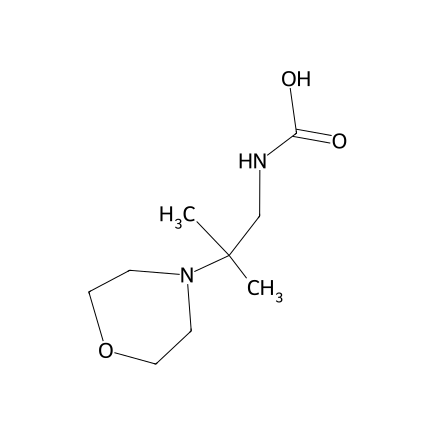 CC(C)(CNC(=O)O)N1CCOCC1